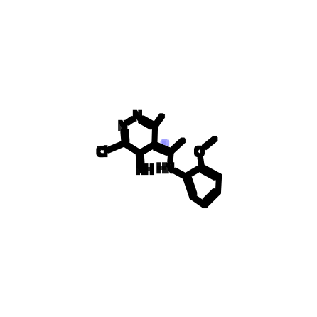 COc1ccccc1N/C(C)=C1\C(=N)C(Cl)=NN=C1C